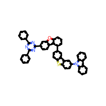 c1ccc(-c2nc(-c3ccccc3)nc(-c3ccc4c(c3)oc3cccc(-c5ccc6sc7ccc(-n8c9ccccc9c9ccccc98)cc7c6c5)c34)n2)cc1